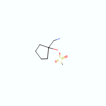 CS(=O)(=O)OC1(CN)CCCC1